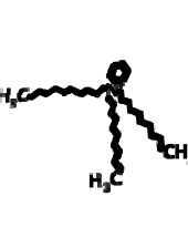 CCCCCCCCCCC[N+](CCCCCCCCCCC)(CCCCCCCCCCC)c1ccccc1